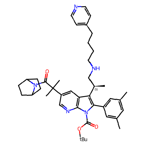 Cc1cc(C)cc(-c2c([C@H](C)CNCCCCc3ccncc3)c3cc(C(C)(C)C(=O)N4C5CCC4CC5)cnc3n2C(=O)OC(C)(C)C)c1